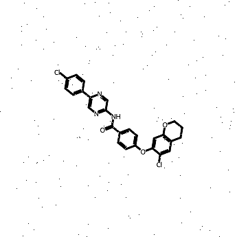 O=C(Nc1cnc(-c2ccc(Cl)cc2)cn1)c1ccc(Oc2cc3c(cc2Cl)CCCO3)cc1